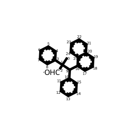 CC([C]=O)(c1ccccc1)C(c1ccccc1)c1cccc2ccccc12